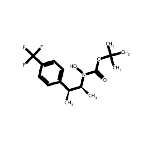 C[C@@H](c1ccc(C(F)(F)F)cc1)[C@H](C)N(O)C(=O)OC(C)(C)C